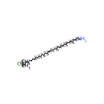 C[Si](C)(Cl)CCCCCCCCCCCCCCCCCCCCCCCCCCCCCCCCCCN